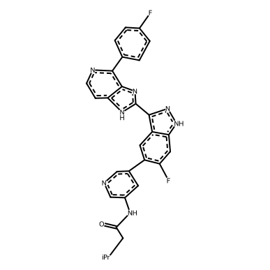 CC(C)CC(=O)Nc1cncc(-c2cc3c(-c4nc5c(-c6ccc(F)cc6)nccc5[nH]4)n[nH]c3cc2F)c1